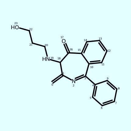 C=C1N=C(c2ccccc2)c2ccccc2C(=O)C1NCCCO